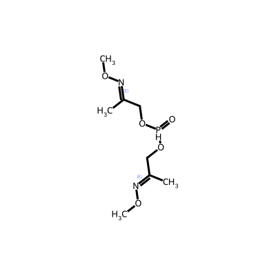 CO/N=C(\C)CO[PH](=O)OC/C(C)=N/OC